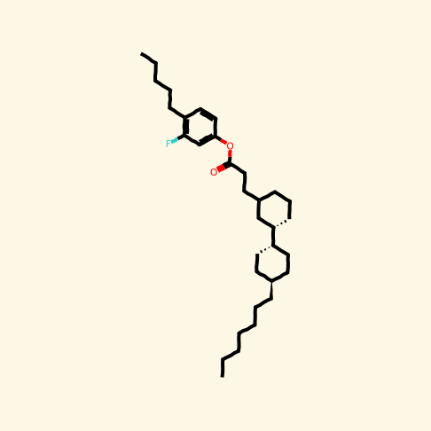 CCCCCCC[C@H]1CC[C@H]([C@H]2CCCC(CCC(=O)Oc3ccc(CCCCC)c(F)c3)C2)CC1